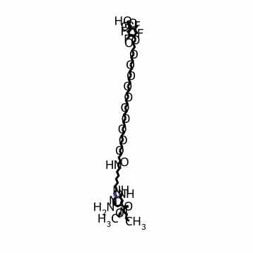 CCCN(OCC)C(=O)C1=CC(=N)/C(=C\NCCCCCCNC(=O)CCOCCOCCOCCOCCOCCOCCOCCOCCOCCOCCC(=O)Oc2c(F)c(F)c(S(=O)(=O)O)c(F)c2F)N=C(N)C1